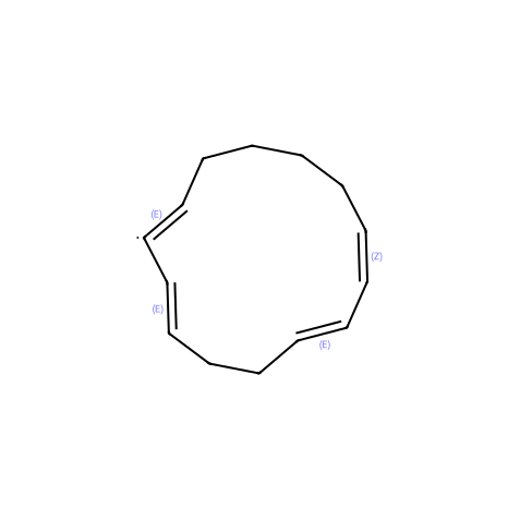 [C]1=C/CCCC/C=C\C=C\CC/C=C/1